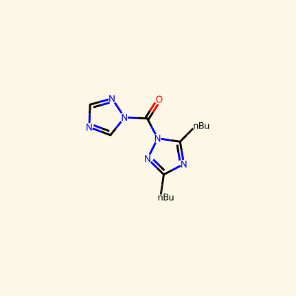 CCCCc1nc(CCCC)n(C(=O)n2cncn2)n1